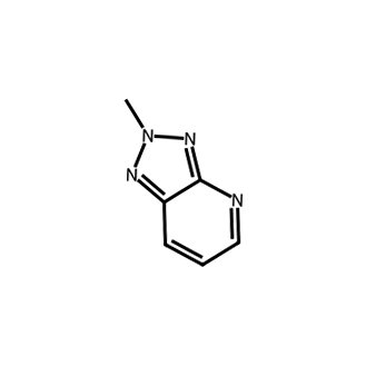 Cn1nc2cccnc2n1